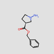 NN1CC[C@H](C(=O)OCc2ccccc2)C1